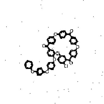 O=C(c1ccc(Oc2ccc(Oc3ccc(Oc4ccccc4)cc3)cc2)cc1)c1ccc(Oc2ccc(C(=O)c3ccc(Oc4ccc(C(=O)c5cc(Cl)ccc5Cl)cc4)cc3)cc2)cc1